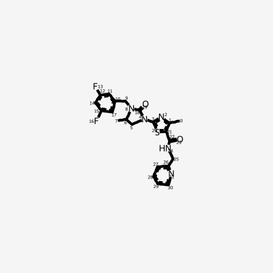 Cc1nc(N2CC(C)N(Cc3cc(F)cc(F)c3)C2=O)sc1C(=O)NCc1ccccn1